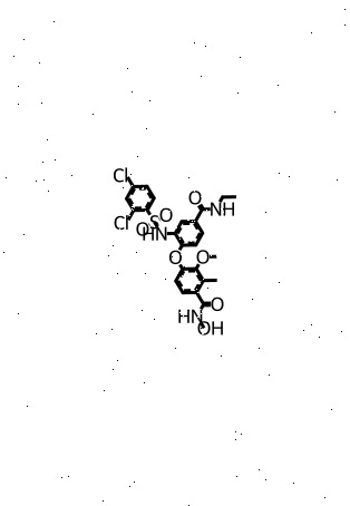 CCNC(=O)c1ccc(Oc2ccc(C(=O)NO)c(C)c2OC)c(NS(=O)(=O)c2ccc(Cl)cc2Cl)c1